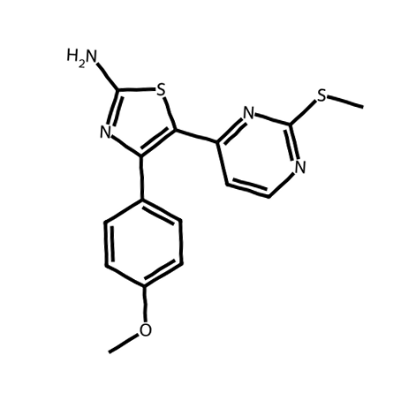 COc1ccc(-c2nc(N)sc2-c2ccnc(SC)n2)cc1